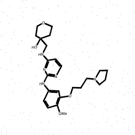 COc1ccc(Nc2nccc(NCC3(O)CCOCC3)n2)cc1OCCCN1CCCC1